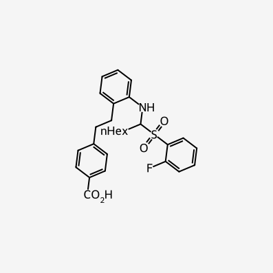 CCCCCCC(Nc1ccccc1CCc1ccc(C(=O)O)cc1)S(=O)(=O)c1ccccc1F